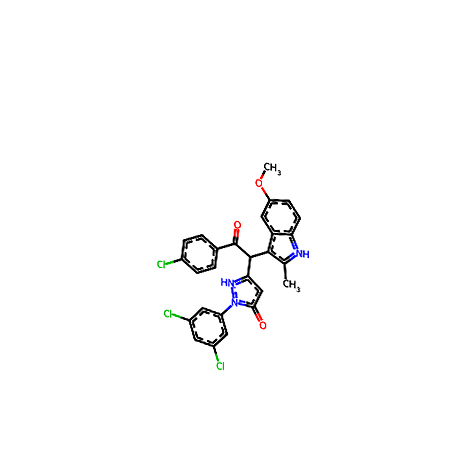 COc1ccc2[nH]c(C)c(C(C(=O)c3ccc(Cl)cc3)c3cc(=O)n(-c4cc(Cl)cc(Cl)c4)[nH]3)c2c1